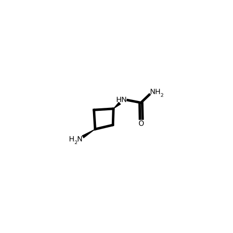 NC(=O)N[C@H]1C[C@@H](N)C1